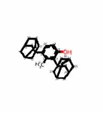 Cc1c(C23CC4CC(CC(C4)C2)C3)ccc(O)c1C12CC3CC(CC(C3)C1)C2